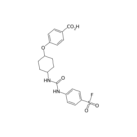 O=C(Nc1ccc(S(=O)(=O)F)cc1)NC1CCC(Oc2ccc(C(=O)O)cc2)CC1